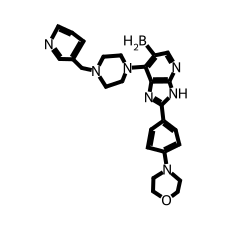 Bc1cnc2[nH]c(-c3ccc(N4CCOCC4)cc3)nc2c1N1CCN(Cc2cccnc2)CC1